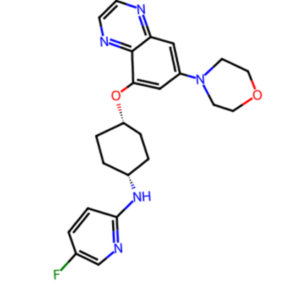 Fc1ccc(N[C@H]2CC[C@@H](Oc3cc(N4CCOCC4)cc4nccnc34)CC2)nc1